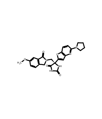 COc1ccc2c(c1)C(=O)N(C[C@@]1(c3cc4nc(N5CCCC5)ccc4o3)NC(=O)NC1=O)C2